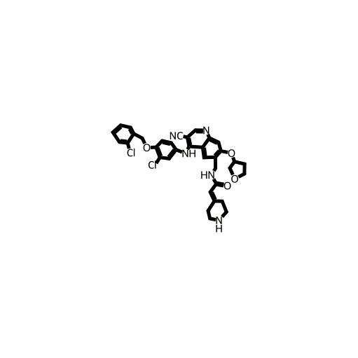 N#Cc1cnc2cc(OC3CCOC3)c(CNC(=O)C=C3CCNCC3)cc2c1Nc1ccc(OCc2ccccc2Cl)c(Cl)c1